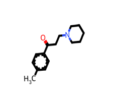 Cc1ccc(C(=O)CCN2CCCCC2)cc1